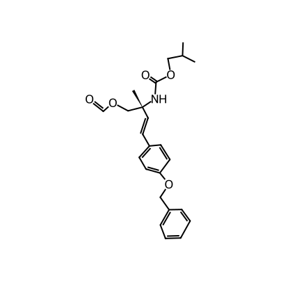 CC(C)COC(=O)N[C@](C)(/C=C/c1ccc(OCc2ccccc2)cc1)COC=O